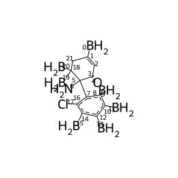 BC1=CC(=O)C(N)(c2c(B)c(B)c(B)c(B)c2Cl)C(B)(B)C1